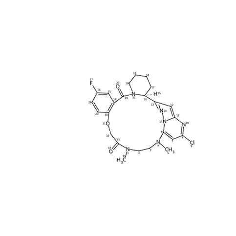 CN1CCN(C)c2cc(Cl)nc3cc(nn23)[C@@H]2CCCCN2C(=O)c2cc(F)ccc2OCC1=O